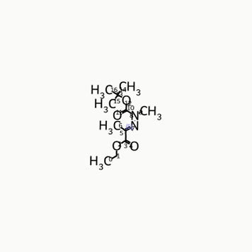 CCOC(=O)/C(C)=N/N(C)C(=O)OC(C)(C)C